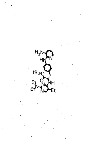 CCc1cnc(N(CC)CC)nc1N[C@@H](Cc1ccc(Nc2ncccc2N)cc1)C(=O)OC(C)(C)C